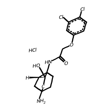 Cl.NC12CCC(NC(=O)COc3ccc(Cl)c(Cl)c3)(CC1)[C@@H](O)C2